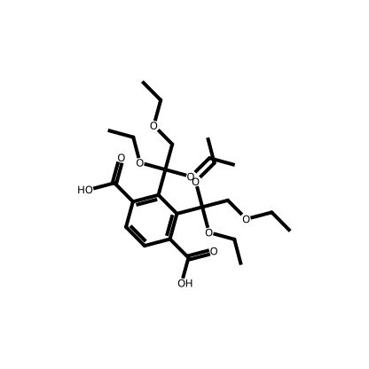 CCOCC(OCC)(OCC)c1c(C(=O)O)ccc(C(=O)O)c1C(COCC)(OCC)OCC